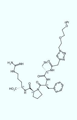 CCCOCCOCCn1cc(CC(=O)N[C@@H](CS)C(=O)N[C@@H](Cc2ccccc2)C(=O)N2CCC[C@H]2C(=O)N[C@@H](CCCNC(=N)N)C(=O)O)nn1